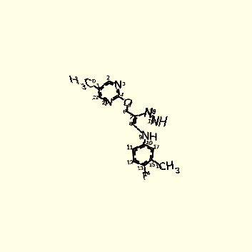 Cc1cnc(OC/C(=C/Nc2ccc(F)c(C)c2)N=N)nc1